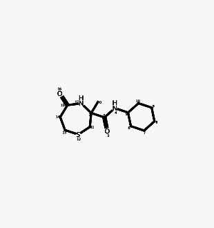 CC1(C(=O)NC2CCCCC2)CSCCC(=O)N1